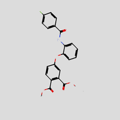 COC(=O)c1ccc(Oc2ccccc2NC(=O)c2ccc(F)cc2)cc1C(=O)OC